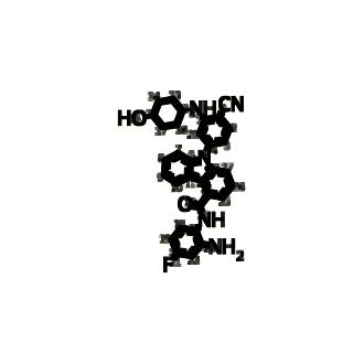 N#Cc1ccc(-n2c3ccccc3c3c(C(=O)Nc4ccc(F)cc4N)cccc32)cc1N[C@H]1CC[C@H](O)CC1